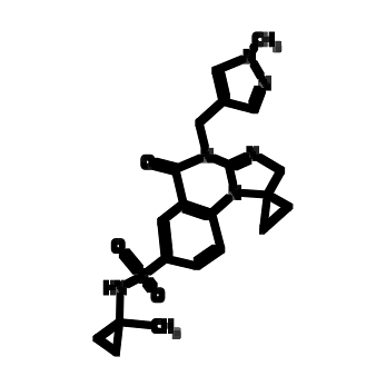 Cn1cc(CN2C(=O)c3cc(S(=O)(=O)NC4(C)CC4)ccc3N3C2=NCC32CC2)cn1